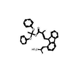 CC(=Cc1cccc2c1C(C=C(C)C(=O)OC(C)(Oc1ccccc1)Oc1ccccc1)c1ccccc1-2)C(=O)O